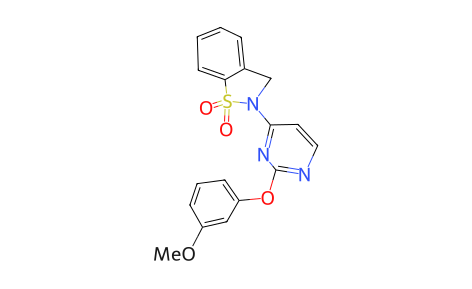 COc1cccc(Oc2nccc(N3Cc4ccccc4S3(=O)=O)n2)c1